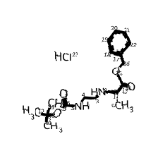 C[C@H](NCCNC(=O)OC(C)(C)C)C(=O)OCc1ccccc1.Cl